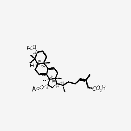 CC(=O)O[C@H]1C[C@H]([C@H](C)CCC=C(C)CC(=O)O)[C@@]2(C)CC=C3C(=CC[C@H]4C(C)(C)[C@H](OC(C)=O)CC[C@]34C)[C@]12C